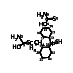 C.C.NC(O)=S.NC(O)=S.SN(C1CCCCC1)C1CCCCC1